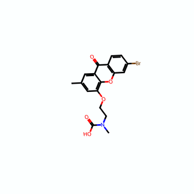 Cc1cc(OCCN(C)C(=O)O)c2oc3cc(Br)ccc3c(=O)c2c1